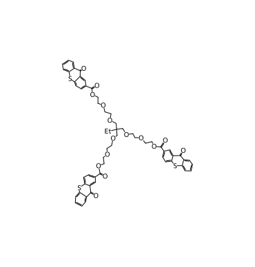 CCC(COCCOCCOC(=O)c1ccc2sc3ccccc3c(=O)c2c1)(COCCOCCOC(=O)c1ccc2sc3ccccc3c(=O)c2c1)COCCOCCOC(=O)c1ccc2sc3ccccc3c(=O)c2c1